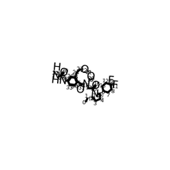 CC[C@H]1CC[C@@H](C2CCC(F)(F)CC2)N1C(=O)CN1COCOCCc2cc(NC(=O)NC)ccc2C1=O